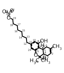 CC1=CC[C@@H]2[C@@H](C1)c1c(O)cc(CCCCCCCCO[N+](=O)[O-])cc1OC2(C)C